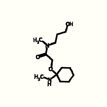 CNC1(OCC(=O)N(C)CCCO)CCCCC1